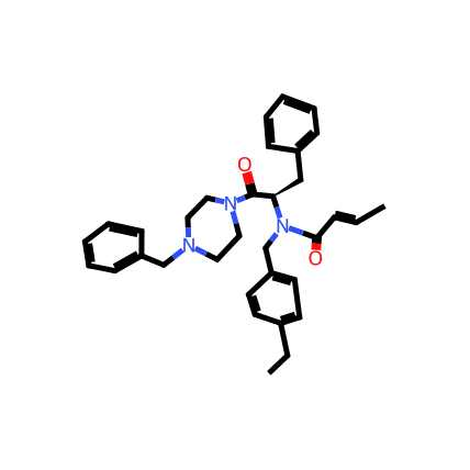 C/C=C/C(=O)N(Cc1ccc(CC)cc1)[C@H](Cc1ccccc1)C(=O)N1CCN(Cc2ccccc2)CC1